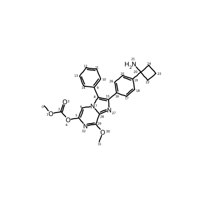 COC(=O)Oc1cn2c(-c3ccccc3)c(-c3ccc(C4(N)CCC4)cc3)nc2c(OC)n1